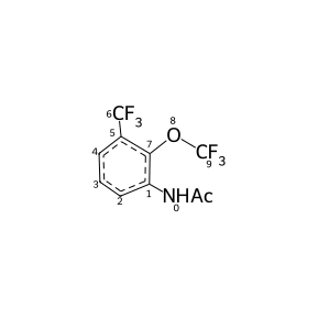 CC(=O)Nc1cccc(C(F)(F)F)c1OC(F)(F)F